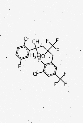 CC(C)(CC(O)(Cc1cc(C(F)(F)F)cc(Cl)c1F)C(F)(F)F)c1cc(F)ccc1[O]